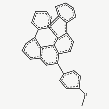 COc1ccc(-c2cc3cccc(-c4cccnc4)c3c3c2ccc2c4ccccc4sc23)cc1